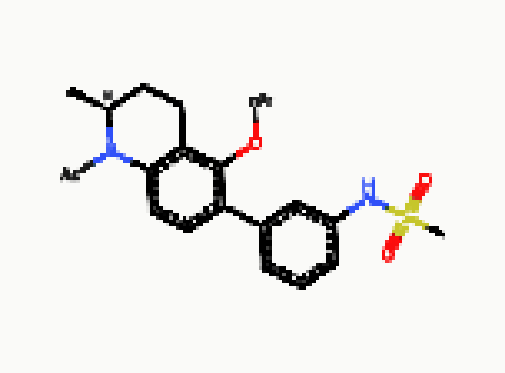 CCCOc1c(-c2cccc(NS(C)(=O)=O)c2)ccc2c1CC[C@H](C)N2C(C)=O